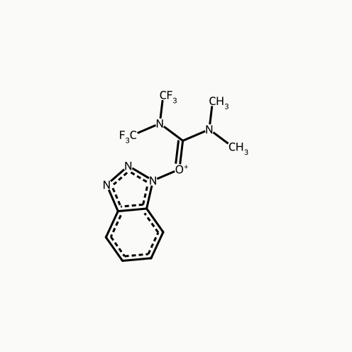 CN(C)C(=[O+]n1nnc2ccccc21)N(C(F)(F)F)C(F)(F)F